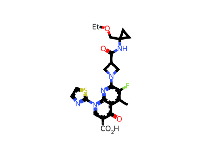 CCOCC1(NC(=O)C2CN(c3nc4c(c(C)c3F)c(=O)c(C(=O)O)cn4-c3nccs3)C2)CC1